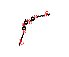 C=CC(=O)OCCCCCCOc1ccc(Oc2ccc(OC(=O)c3ccc(OCCCCCCOC(=O)C=C)cc3)c(C)c2)cc1